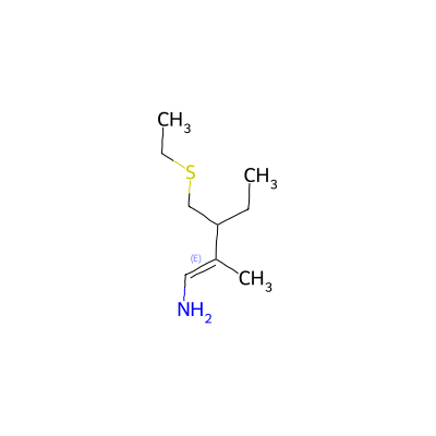 CCSCC(CC)/C(C)=C/N